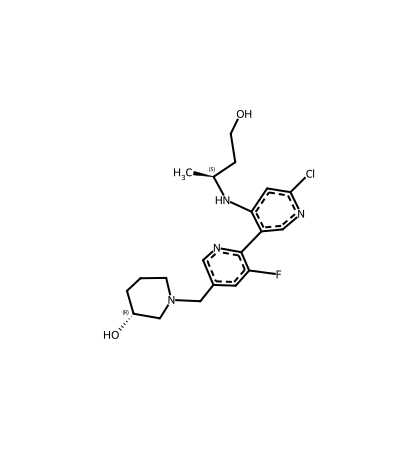 C[C@@H](CCO)Nc1cc(Cl)ncc1-c1ncc(CN2CCC[C@@H](O)C2)cc1F